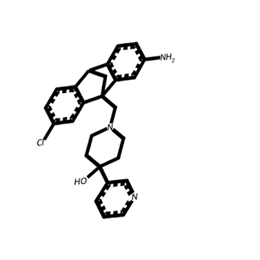 Nc1ccc2c(c1)C1(CN3CCC(O)(c4cccnc4)CC3)CC2c2ccc(Cl)cc21